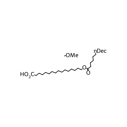 CCCCCCCCCCCCCCCC(=O)OCCCCCCCCCCCCCCCC(=O)O.COC